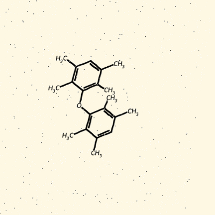 Cc1cc(C)c(C)c(Oc2c(C)c(C)cc(C)c2C)c1C